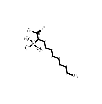 CCCCCCCCCC(C(=O)O)[N+](C)(C)C